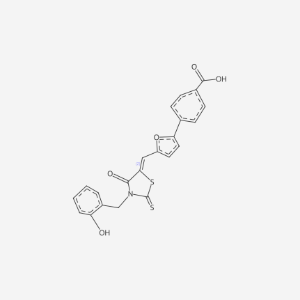 O=C(O)c1ccc(-c2ccc(/C=C3\SC(=S)N(Cc4ccccc4O)C3=O)o2)cc1